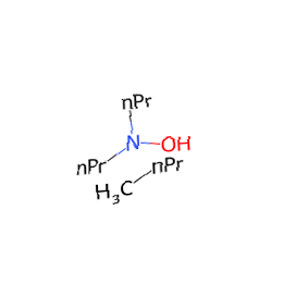 CCCC.CCCN(O)CCC